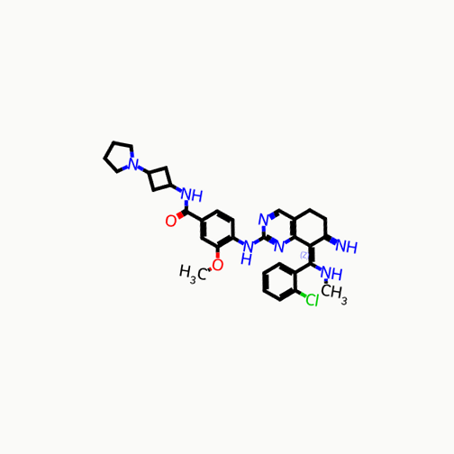 CN/C(=C1\C(=N)CCc2cnc(Nc3ccc(C(=O)NC4CC(N5CCCC5)C4)cc3OC)nc21)c1ccccc1Cl